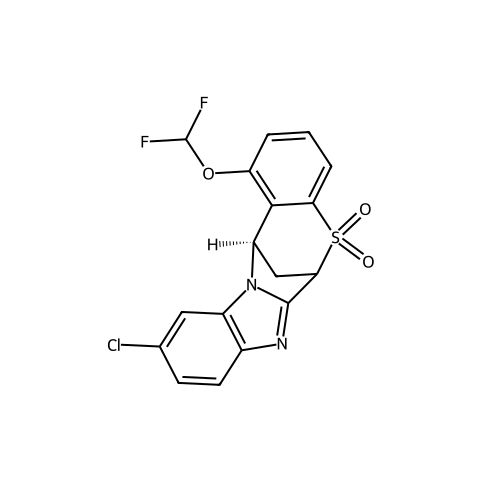 O=S1(=O)c2cccc(OC(F)F)c2[C@H]2CC1c1nc3ccc(Cl)cc3n12